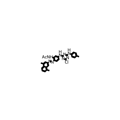 CC(=O)Nc1cc(Nc2nc(Cl)nc(Nc3ccc(C)cc3)n2)ccc1N=Nc1cc(C)c2cccc(C)c2c1